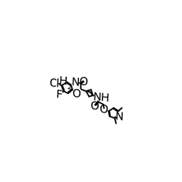 Cc1cc(OCC(=O)NC23CC(C(Oc4ccc(Cl)c(F)c4)C(N)=O)(C2)C3)cc(C)n1